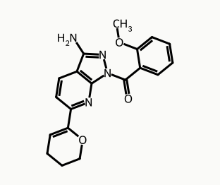 COc1ccccc1C(=O)n1nc(N)c2ccc(C3=CCCCO3)nc21